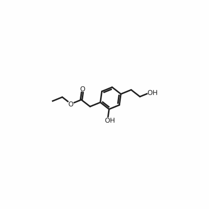 CCOC(=O)Cc1ccc(CCO)cc1O